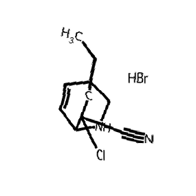 Br.CCC12C=CC(NC1)C(Cl)(C#N)C2